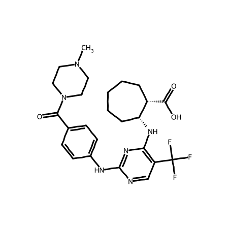 CN1CCN(C(=O)c2ccc(Nc3ncc(C(F)(F)F)c(N[C@@H]4CCCCC[C@@H]4C(=O)O)n3)cc2)CC1